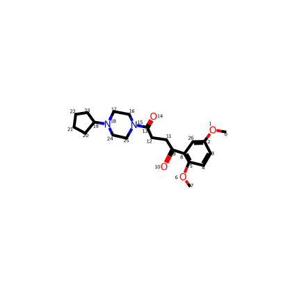 COc1ccc(OC)c(C(=O)CCC(=O)N2CCN(C3CCCC3)CC2)c1